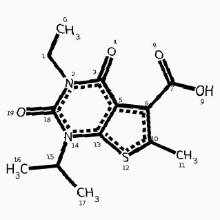 CCn1c(=O)c2c(C(=O)O)c(C)sc2n(C(C)C)c1=O